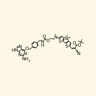 CN(CCOC(=O)NCc1ccc(COc2nc(N)nc3[nH]cnc23)cc1)c1cc2c(s1)-c1sc(/C=C(/C#N)C(=O)OC(C)(C)C)cc1[Si]2(C)C